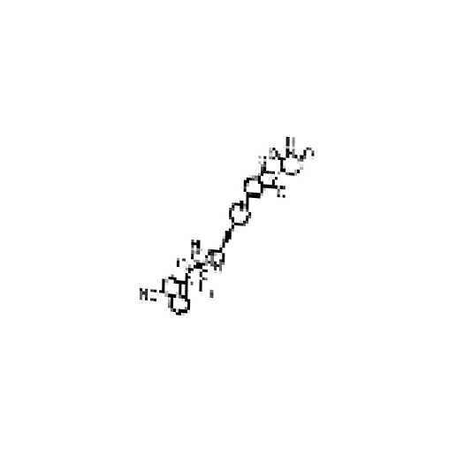 CC(C)(C(=O)Nc1ccc(C#N)c2ccccc12)n1cc(C#CC2CCN(c3ccc4c(c3)C(=O)N(C3CCC(=O)NC3=O)C4=O)CC2)cn1